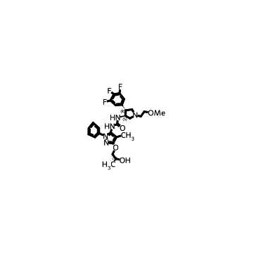 COCCN1C[C@@H](NC(=O)Nc2c(C)c(OC[C@H](C)O)nn2-c2ccccc2)[C@H](c2cc(F)c(F)c(F)c2)C1